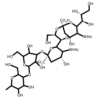 CC(=O)NC1C([C@H](O)[C@H](O)CO)O[C@@](O[C@H](CO)[C@@H](O)C2O[C@@](OC3C(O)C(CO)OC(OC4C(CO)OC(C)C(O)C4O)C3O)(C(=O)O)C[C@@H](O)C2NC(C)=O)(C(=O)O)C[C@H]1O